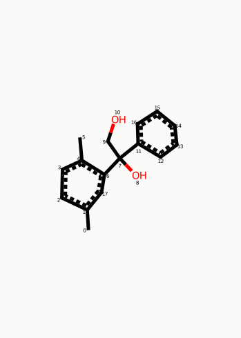 Cc1ccc(C)c(C(O)(CO)c2ccccc2)c1